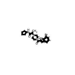 C=C(C(=O)NC1CCCC1)N1CCN(C(=O)c2cc3cccc(Br)c3[nH]2)CC1